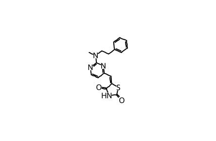 CN(CCc1ccccc1)c1nccc(C=C2SC(=O)NC2=O)n1